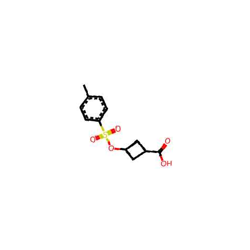 Cc1ccc(S(=O)(=O)OC2CC(C(=O)O)C2)cc1